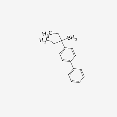 BC(CC)(CC)c1ccc(-c2ccccc2)cc1